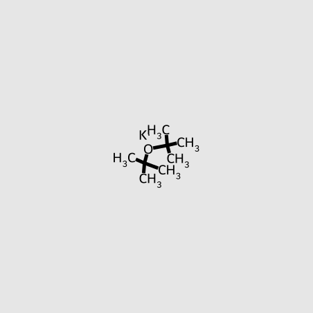 CC(C)(C)OC(C)(C)C.[K]